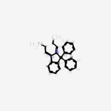 CC/C=C1\C(=C/CN)c2ccccc2C1(c1ccccc1)c1ccccc1